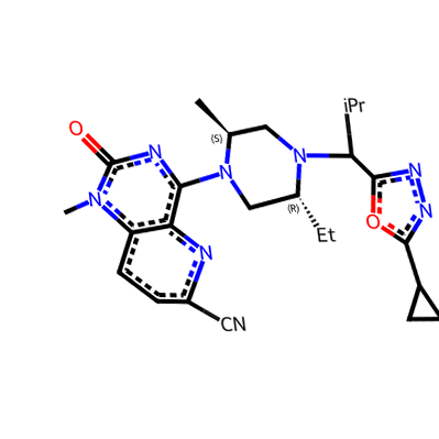 CC[C@@H]1CN(c2nc(=O)n(C)c3ccc(C#N)nc23)[C@@H](C)CN1C(c1nnc(C2CC2)o1)C(C)C